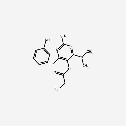 CCC(=O)Oc1c(Cl)nc(C)nc1N(C)C.Nc1ccccc1